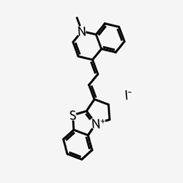 CN1C=CC(=CC=C2CC[n+]3c2sc2ccccc23)c2ccccc21.[I-]